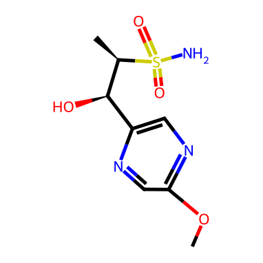 COc1cnc([C@@H](O)[C@@H](C)S(N)(=O)=O)cn1